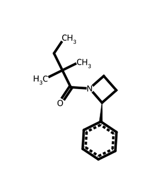 CCC(C)(C)C(=O)N1CC[C@H]1c1ccccc1